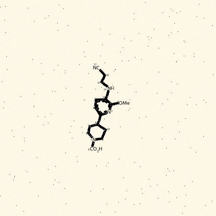 COc1nc(C2CCN(C(=O)O)CC2)ccc1NCCC#N